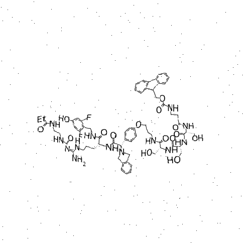 CCC(=O)NCCNC(=O)/N=C(/N)NCCC[C@@H](NC(=O)[C@H](c1ccc(OCCCNC(=O)[C@@H](CO)NC(=O)[C@@H](CO)NC(=O)[C@@H](CO)NC(=O)CCNC(=O)OCC2c3ccccc3-c3ccccc32)cc1)N1Cc2ccccc2C1)C(=O)NCc1c(F)cc(O)cc1F